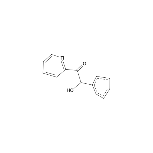 O=C([C]1=[Tl][CH]=CC=C1)C(O)c1ccccc1